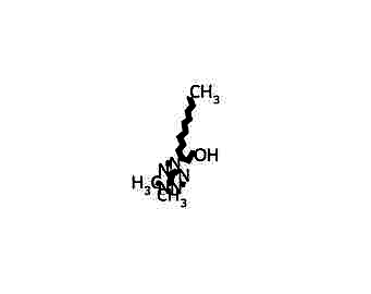 CCCCCCCCCCC(CCO)n1cnc2c(N(C)C)ncnc21